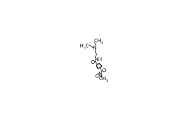 CCCN(CCC)CCCCNC(=O)c1ccc(C(=O)N(CC)CC)cc1